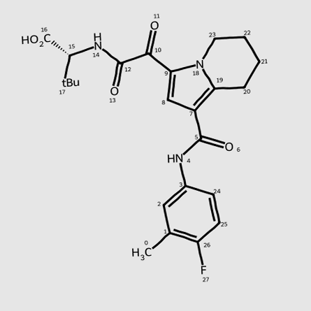 Cc1cc(NC(=O)c2cc(C(=O)C(=O)N[C@@H](C(=O)O)C(C)(C)C)n3c2CCCC3)ccc1F